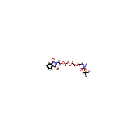 CN(CCOCCOCCOCCN1C(=O)c2ccccc2C1=O)C(=O)OC(C)(C)C